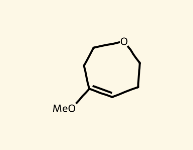 COC1=CCCOCC1